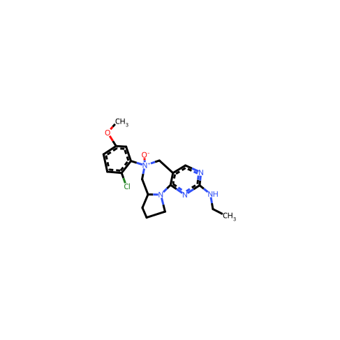 CCNc1ncc2c(n1)N1CCCC1C[N+]([O-])(c1cc(OC)ccc1Cl)C2